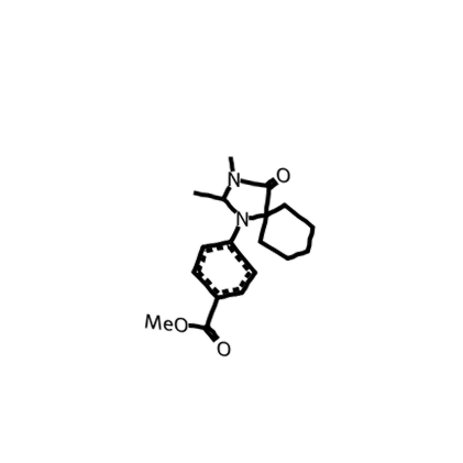 COC(=O)c1ccc(N2C(C)N(C)C(=O)C23CCCCC3)cc1